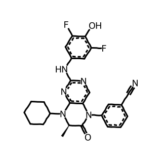 C[C@@H]1C(=O)N(c2cccc(C#N)c2)c2cnc(Nc3cc(F)c(O)c(F)c3)nc2N1C1CCCCC1